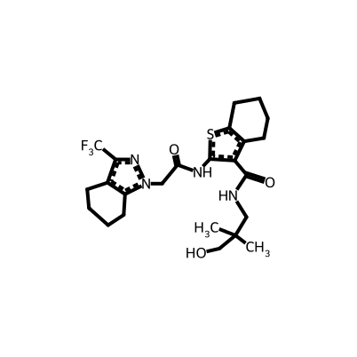 CC(C)(CO)CNC(=O)c1c(NC(=O)Cn2nc(C(F)(F)F)c3c2CCCC3)sc2c1CCCC2